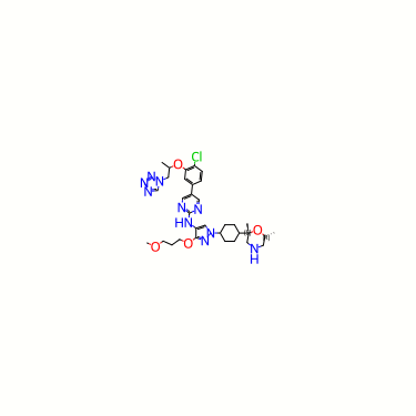 COCCCOc1nn(C2CCC([C@@]3(C)CNC[C@@H](C)O3)CC2)cc1Nc1ncc(-c2ccc(Cl)c(OC(C)Cn3cnnn3)c2)cn1